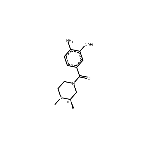 COc1cc(C(=O)N2CCN(C)[C@H](C)C2)ccc1N